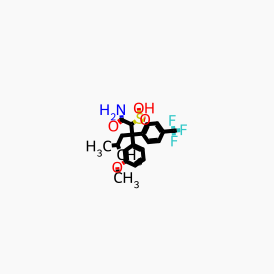 COc1cccc(C(CC(C)C)(c2ccc(C(F)(F)F)cc2)C(C(N)=O)S(=O)O)c1